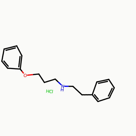 Cl.c1ccc(CCNCCCOc2ccccc2)cc1